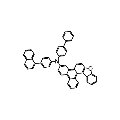 c1ccc(-c2ccc(N(c3ccc(-c4cccc5ccccc45)cc3)c3ccc4c5ccccc5c5c(ccc6oc7ccccc7c65)c4c3)cc2)cc1